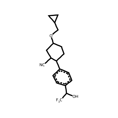 N#CC1CC(OCC2CC2)CCC1c1c[c]c(C(O)C(F)(F)F)cc1